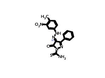 Cc1ccc(N/N=C2/C(=O)N(C(N)=S)N=C2c2ccccc2)cc1[N+](=O)[O-]